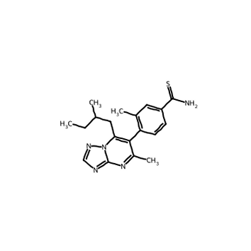 CCC(C)Cc1c(-c2ccc(C(N)=S)cc2C)c(C)nc2ncnn12